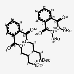 CCCCCCCCCCCCCOC(=O)c1ccccc1C(=O)OCCCCCCCCCCCCC.CCCCOC(=O)c1ccccc1C(=O)OCCCC